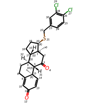 C[C@]12CC(=O)[C@H]3[C@@H](CCC4=CC(=O)C=C[C@@]43C)[C@@H]1CC[C@H]2SCc1ccc(Cl)c(Cl)c1